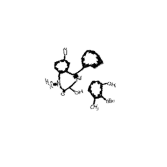 CCCCc1c(C)cccc1O.CN1C(=O)C(O)N=C(c2ccccc2)c2cc(Cl)ccc21